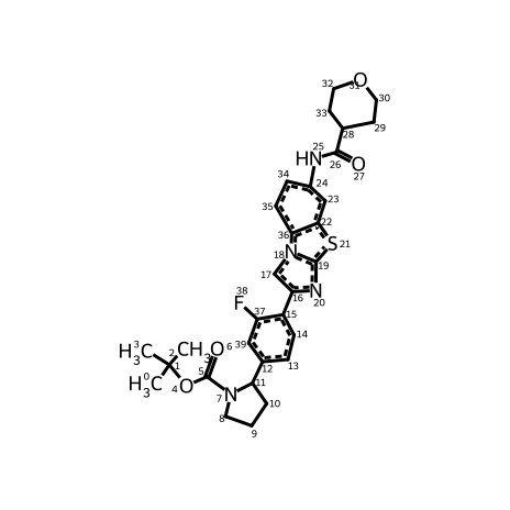 CC(C)(C)OC(=O)N1CCCC1c1ccc(-c2cn3c(n2)sc2cc(NC(=O)C4CCOCC4)ccc23)c(F)c1